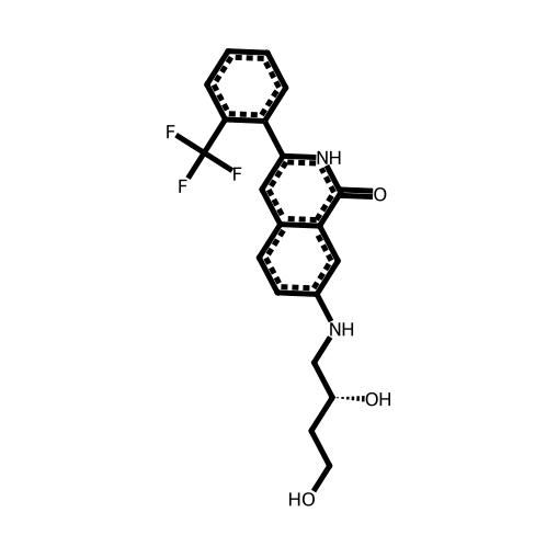 O=c1[nH]c(-c2ccccc2C(F)(F)F)cc2ccc(NC[C@H](O)CCO)cc12